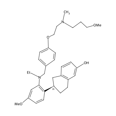 CCN(Cc1ccc(OCCN(C)CCCOC)cc1)c1cc(OC)ccc1[C@@H]1CCc2cc(O)ccc2C1